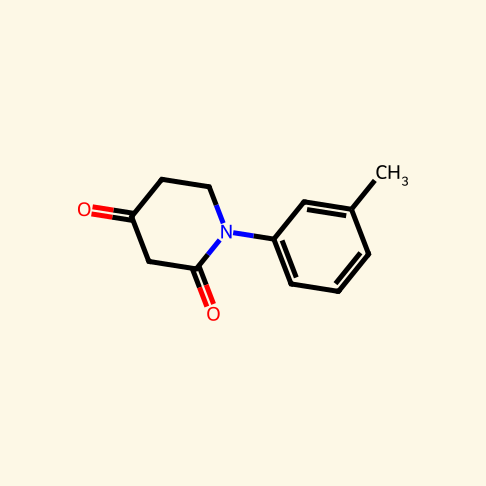 Cc1cccc(N2CCC(=O)CC2=O)c1